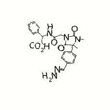 CN1C(=O)N(CC(=O)NC(CC(=O)O)c2ccccc2)C(=O)C1(C)c1ccc(C=NN)cc1